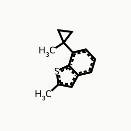 Cc1cc2cccc(C3(C)CC3)c2s1